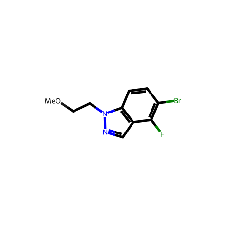 COCCn1ncc2c(F)c(Br)ccc21